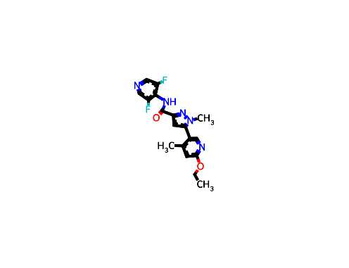 CCOc1cc(C)c(-c2cc(C(=O)Nc3c(F)cncc3F)nn2C)cn1